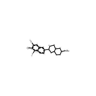 CCCCC1CCC2CC(c3ccc4c(F)c(Cl)c(F)cc4c3)CCC2C1